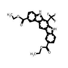 CCOC(=O)c1ccc2[nH]c3c(C(F)(F)F)c4[nH]c5ccc(C(=O)OCC)cc5c4cc3c2c1